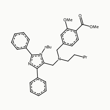 CCCCn1c(-c2ccccc2)nc(-c2ccccc2)c1CN(CCC(C)C)Cc1ccc(C(=O)OC)c(OC)c1